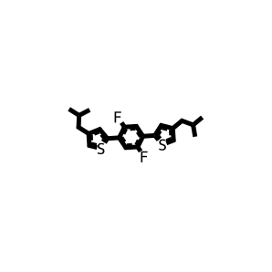 CC(C)Cc1csc(-c2cc(F)c(-c3cc(CC(C)C)cs3)cc2F)c1